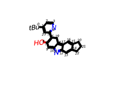 CC(C)(C)c1ccnc(C2=C(O)C=C3N=c4cc5c(cc4=C3C2)CCC5)c1